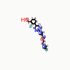 OCc1cccc(-c2cnc(N3CC(=NOCCN4CC(F)C4)C3)nc2)c1F